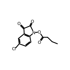 CCCC(=O)ON1C(=O)C(=O)c2cc(Cl)ccc21